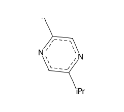 [CH2]c1cnc(C(C)C)cn1